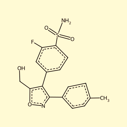 Cc1ccc(-c2noc(CO)c2-c2ccc(S(N)(=O)=O)c(F)c2)cc1